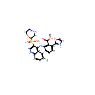 COC(=O)c1c(Nc2c(S(=O)(=O)C3CNCCO3)cnc3ccc(Cl)cc23)cccc1-c1ncco1